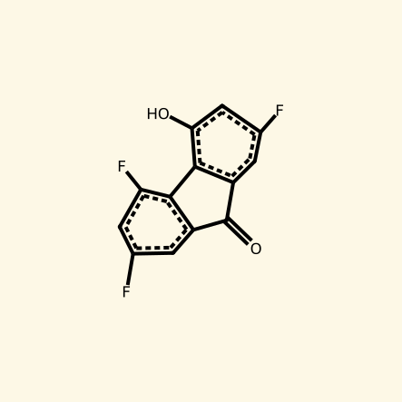 O=C1c2cc(F)cc(O)c2-c2c(F)cc(F)cc21